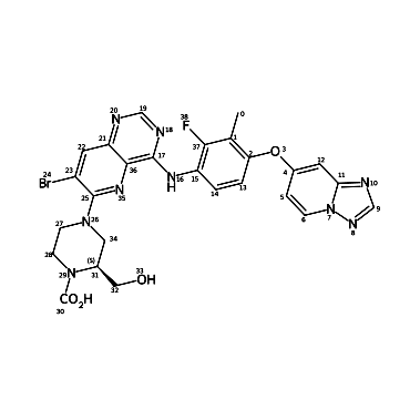 Cc1c(Oc2ccn3ncnc3c2)ccc(Nc2ncnc3cc(Br)c(N4CCN(C(=O)O)[C@H](CO)C4)nc23)c1F